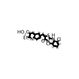 CCc1nc2ccc(C=C3SC(Nc4c(Cl)cccc4Cl)=NC3=O)cc2cc1C(=O)O